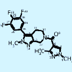 Cc1nn(C)cc1C(=O)N1CCc2c(nn(C)c2-c2cc(F)c(F)c(F)c2)C1